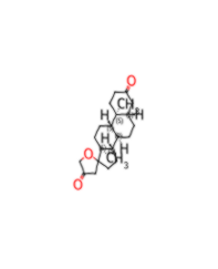 C[C@]12CCC(=O)C[C@@H]1CC[C@@H]1[C@@H]2CC[C@@]2(C)[C@H]1CCC21CC(=O)CO1